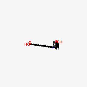 [3H]C(CC/C=C/CCCCCCCCCCCCCCCCCCCCCCCC=CC(=O)O)C([3H])([3H])C([3H])([3H])C([3H])([3H])C([3H])([3H])C(=O)O